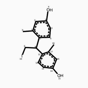 Cc1cc(O)ccc1C(CI)c1ccc(O)cc1C